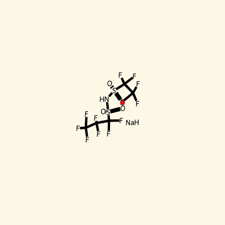 O=S(=O)(NS(=O)(=O)C(F)(F)C(F)(F)C(F)(F)F)C(F)(F)C(F)(F)F.[NaH]